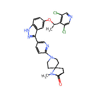 C[C@@H](Oc1ccc2[nH]nc(-c3ccc(N4CCC5(CCC(=O)N5C)CC4)nc3)c2c1)c1c(Cl)cncc1Cl